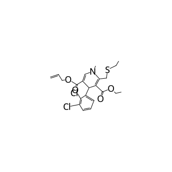 C=CCOC(=O)C1=CN(C)C(CSCC)=C(C(=O)OCC)C1c1cccc(Cl)c1Cl